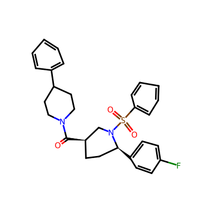 O=C([C@@H]1CC[C@H](c2ccc(F)cc2)N(S(=O)(=O)c2ccccc2)C1)N1CCC(c2ccccc2)CC1